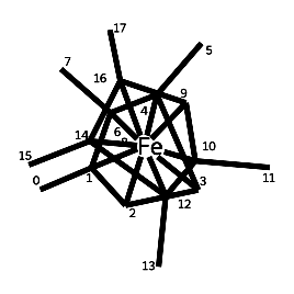 C[C]12[CH]3[CH]4[C]5(C)[C]1(C)[Fe]34251678[CH]2[C]1(C)[C]6(C)[C]7(C)[C]28C